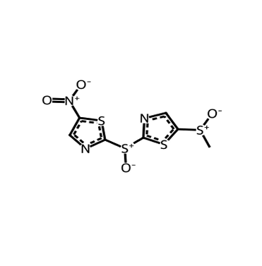 C[S+]([O-])c1cnc([S+]([O-])c2ncc([N+](=O)[O-])s2)s1